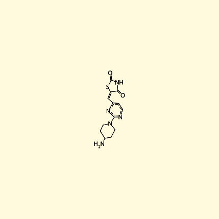 NC1CCN(c2nccc(C=C3SC(=O)NC3=O)n2)CC1